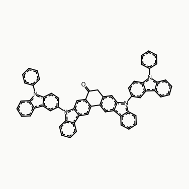 O=C1Cc2cc3c(cc2-c2cc4c5ccccc5n(-c5ccc6c(c5)c5ccccc5n6-c5ccccc5)c4cc21)c1ccccc1n3-c1ccc2c(c1)c1ccccc1n2-c1ccccc1